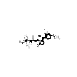 COc1ccc(C(O)C2CCC(=O)N2CCNC(=O)OC(C)(C)C)c(C)c1